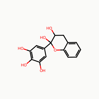 Oc1cc(C2(O)Oc3ccccc3CC2O)cc(O)c1O